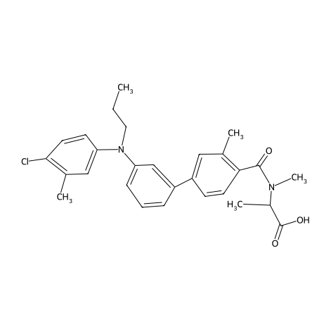 CCCN(c1cccc(-c2ccc(C(=O)N(C)C(C)C(=O)O)c(C)c2)c1)c1ccc(Cl)c(C)c1